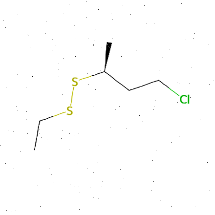 CCSS[C@@H](C)CCCl